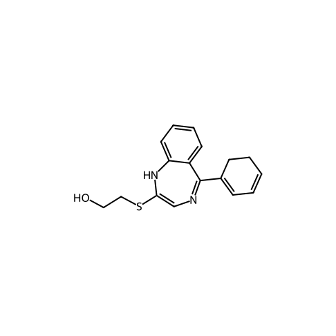 OCCSC1=CN=C(C2=CC=CCC2)c2ccccc2N1